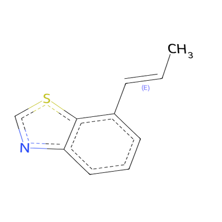 C/C=C/c1cccc2ncsc12